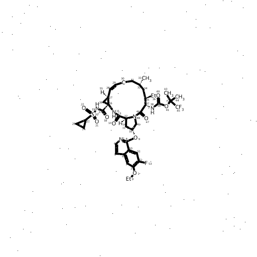 CCOc1cc2ccnc(O[C@@H]3C[C@H]4C(=O)N[C@]5(C(=O)NS(=O)(=O)C6CC6)C[C@H]5C=CCC[C@H](C)C[C@@H](CC)[C@H](NC(=O)OC(C)(C)C(F)(F)F)C(=O)N4C3)c2cc1F